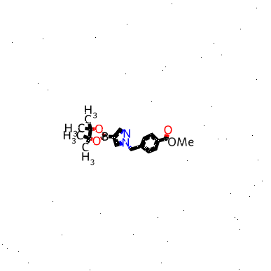 COC(=O)c1ccc(Cn2cc(B3OC(C)(C)C(C)(C)O3)cn2)cc1